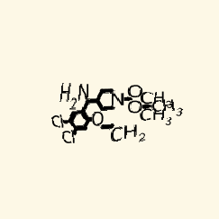 C=CCOc1cc(Cl)c(Cl)cc1C(N)C1CCN(C(=O)OC(C)(C)C)CC1